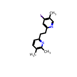 Cc1cnc(CCc2ccc(C)c(C)n2)cc1I